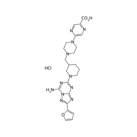 Cl.Nc1nc(N2CCCC(CN3CCN(c4cnc(C(=O)O)cn4)CC3)C2)nc2nc(-c3ccco3)nn12